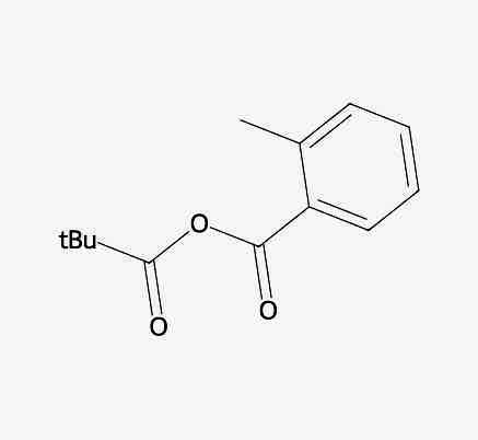 Cc1ccccc1C(=O)OC(=O)C(C)(C)C